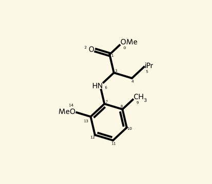 COC(=O)C(CC(C)C)Nc1c(C)cccc1OC